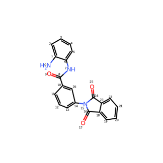 Nc1ccccc1NC(=O)c1cccc(N2C(=O)c3ccccc3C2=O)c1